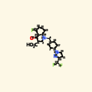 O=C(O)c1cn(Cc2ccc(-n3ccc(C(F)F)n3)cc2)c2cccc(F)c2c1=O